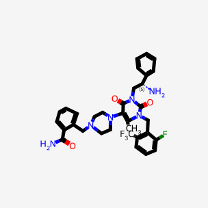 Cc1c(N2CCN(Cc3ccccc3C(N)=O)CC2)c(=O)n(C[C@@H](N)c2ccccc2)c(=O)n1Cc1c(F)cccc1C(F)(F)F